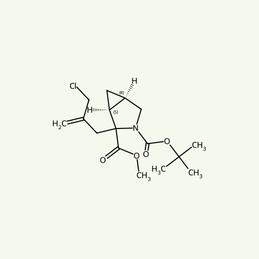 C=C(CCl)CC1(C(=O)OC)[C@H]2C[C@H]2CN1C(=O)OC(C)(C)C